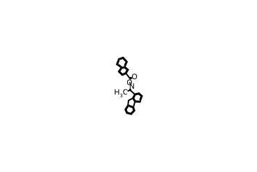 C/C(=N\OC(=O)c1ccc2ccccc2c1)c1cccc2c1Cc1ccccc1-2